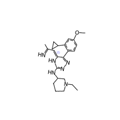 CCN1CCCC(NC2=NN=C(c3ccc(OC)cc3C3CC3)/C(=C/C(C)=N)N2)C1